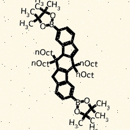 CCCCCCCCC1(CCCCCCCC)C2=Cc3ccc(B4OC(C)(C)C(C)(C)O4)cc3C2C(CCCCCCCC)(CCCCCCCC)C2=C1c1cc(B3OC(C)(C)C(C)(C)O3)ccc1C2